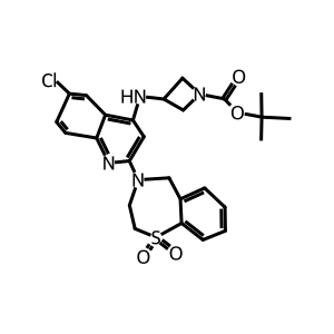 CC(C)(C)OC(=O)N1CC(Nc2cc(N3CCS(=O)(=O)c4ccccc4C3)nc3ccc(Cl)cc23)C1